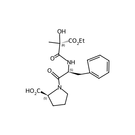 CCOC(=O)[C@](C)(O)C(=O)N[C@@H](Cc1ccccc1)C(=O)N1CCC[C@H]1C(=O)O